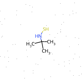 CC(C)(C)NS